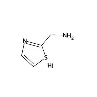 I.NCc1nccs1